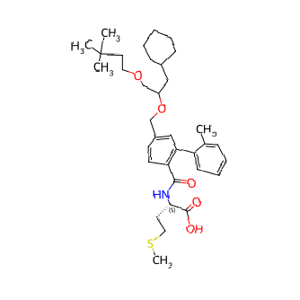 CSCC[C@H](NC(=O)c1ccc(COC(COCCC(C)(C)C)CC2CCCCC2)cc1-c1ccccc1C)C(=O)O